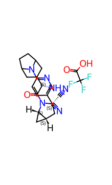 N#Cc1ccc(N2C3CCC2CC([C@H](N)C(=O)N2[C@H](C#N)C[C@@H]4C[C@@H]42)C3)nc1.O=C(O)C(F)(F)F